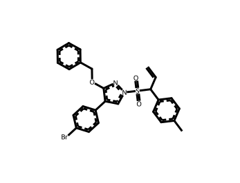 C=CC(c1ccc(C)cc1)S(=O)(=O)n1cc(-c2ccc(Br)cc2)c(OCc2ccccc2)n1